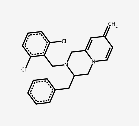 C=C1C=CN2CC(Cc3ccccc3)N(Cc3c(Cl)cccc3Cl)CC2=C1